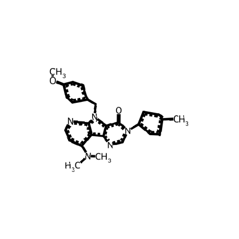 COc1ccc(Cn2c3nccc(N(C)C)c3c3ncn(-c4ccc(C)cc4)c(=O)c32)cc1